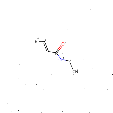 CCC=CC(=O)NCC#N